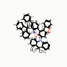 CC1(C)c2ccccc2N2c3cc4oc5ccccc5c4c(-c4ccc(-c5ccccc5)cc4Nc4cccc5c4C(C)(C)c4ccccc4-5)c3Bc3cccc1c32